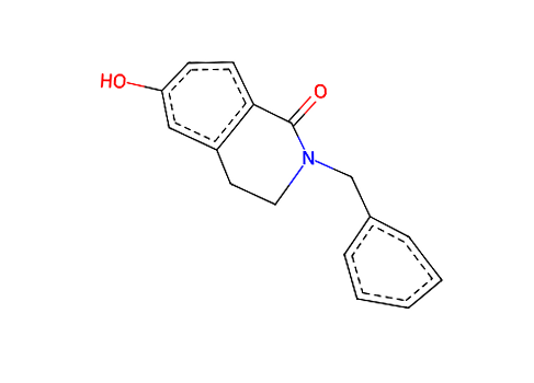 O=C1c2ccc(O)cc2CCN1Cc1ccccc1